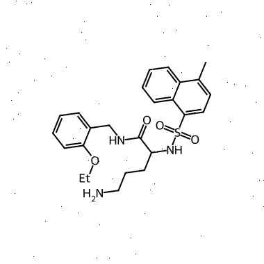 CCOc1ccccc1CNC(=O)C(CCCN)NS(=O)(=O)c1ccc(C)c2ccccc12